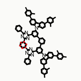 Cc1ccc(-c2ccc3c(c2)c2cc(-c4ccc(C)cc4C)ccc2n3-c2cc(-c3cccc(-c4cc(-c5nc(-c6ccccc6)nc(-c6ccccc6)n5)cc(-n5c6ccc(-c7ccc(C)cc7C)cc6c6cc(-c7ccc(C)cc7C)ccc65)c4)c3)cc(-c3nc(-c4ccccc4)nc(-c4ccccc4)n3)c2)c(C)c1